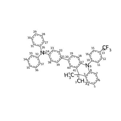 CC1(C)c2ccccc2N(c2ccc(C(F)(F)F)cc2)c2ccc(-c3ccc(N(c4ccccc4)c4ccccc4)cc3)cc21